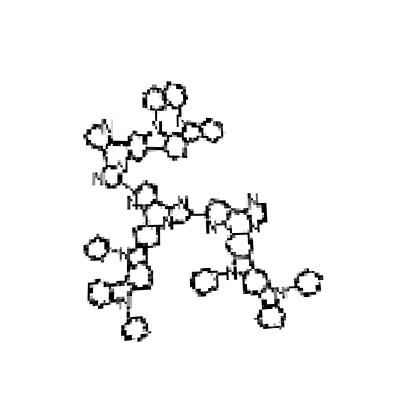 c1ccc(-n2c3ccccc3c3cc4c(cc32)c2cc3c(cc2n4-c2ccccc2)c2nc(-c4cn5c6cc7c8ccc9c(c%10ccccc%10n9-c9ccccc9)c8n(-c8ccccc8)c7cc6c6nc(-c7cnc8c9cccnc9c9cc%10c(cc9n78)c7ccc8c9ccccc9n(-c9ccccc9)c8c7n%10-c7ccccc7)ccc6c5n4)ccc2c2nccn32)cc1